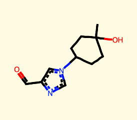 CC1(O)CCC(n2cnc(C=O)c2)CC1